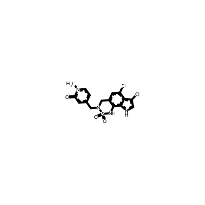 Cn1ccc(CN2Cc3cc(Cl)c4c(Cl)c[nH]c4c3NS2(=O)=O)cc1=O